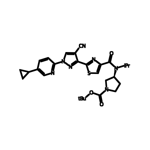 CC(C)N(C(=O)c1csc(-c2nn(-c3ccc(C4CC4)cn3)cc2C#N)n1)[C@H]1CCN(C(=O)OC(C)(C)C)C1